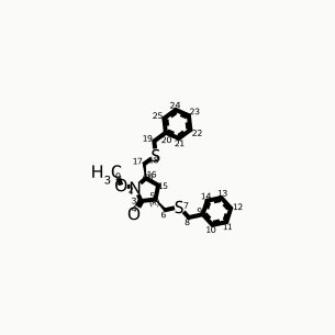 CON1C(=O)[C@H](CSCc2ccccc2)C[C@@H]1CSCc1ccccc1